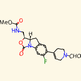 COC(=O)NC[C@@H]1OC(=O)N2c3cc(F)c(C4=CCN(C=O)CC4)cc3C[C@@H]12